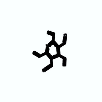 C=Cc1nc(C=C)c(C=O)c(C=C)c1C=O